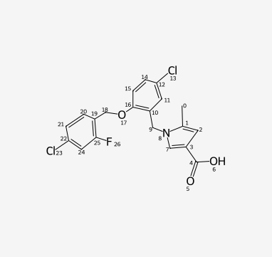 Cc1cc(C(=O)O)cn1Cc1cc(Cl)ccc1OCc1ccc(Cl)cc1F